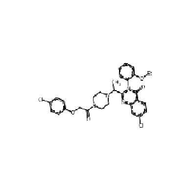 CCOc1ccccc1-n1c(C(C)N2CCN(C(=O)COc3ccc(Cl)cc3)CC2)nc2cc(Cl)ccc2c1=O